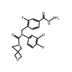 NNC(=O)c1ccc(CN(C(=O)N2CC3(COC3)C2)c2ccc(F)c(Cl)c2)c(F)c1